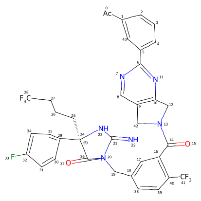 CC(=O)c1cccc(-c2ncc3c(n2)CN(C(=O)c2cc(CN4C(=N)N[C@](CCCC(F)(F)F)(c5ccc(F)cc5)C4=O)ccc2C(F)(F)F)C3)c1